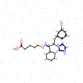 O=C(O)CCCCO/N=C(\C1CCCCC1)C(Cc1cccc(Cl)c1)n1ccnc1